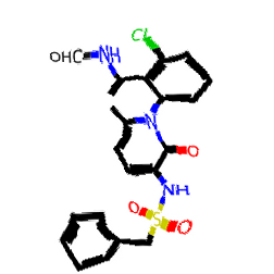 C=C(NC=O)c1c(Cl)cccc1-n1c(C)ccc(NS(=O)(=O)Cc2ccccc2)c1=O